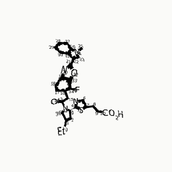 CCC1C[C@@H](c2ncc(CCC(=O)O)s2)N(C(=O)Cc2ccc3nc(-c4cn(C)c5ccccc45)oc3c2F)C1